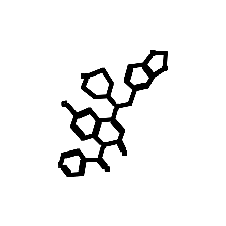 O=C(c1ccncc1)n1c(=O)cc(N(Cc2ccc3c(c2)OCO3)C2CCNCC2)c2cc(Cl)ccc21